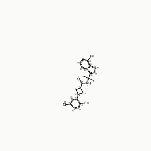 CC(C)(NC(=O)C1CN(c2nc(Cl)ncc2F)C1)c1cnc2c(F)cccn12